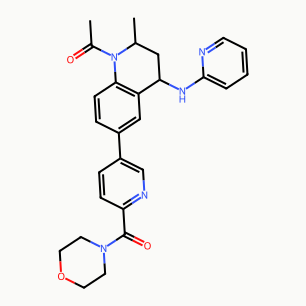 CC(=O)N1c2ccc(-c3ccc(C(=O)N4CCOCC4)nc3)cc2C(Nc2ccccn2)CC1C